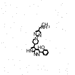 CNCc1cnc(N2CCC(c3c[nH]c4nnc(-c5ccccc5O)cc34)CC2)nc1